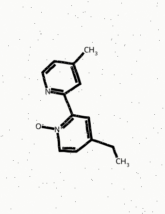 CCc1cc[n+]([O-])c(-c2cc(C)ccn2)c1